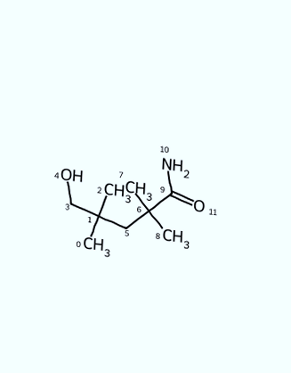 CC(C)(CO)CC(C)(C)C(N)=O